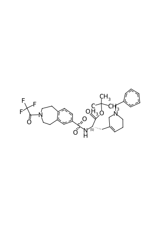 CC(C)(C)OC(=O)[C@H](CC1=CCCN(Cc2ccccc2)C1)NS(=O)(=O)c1ccc2c(c1)CCN(C(=O)C(F)(F)F)CC2